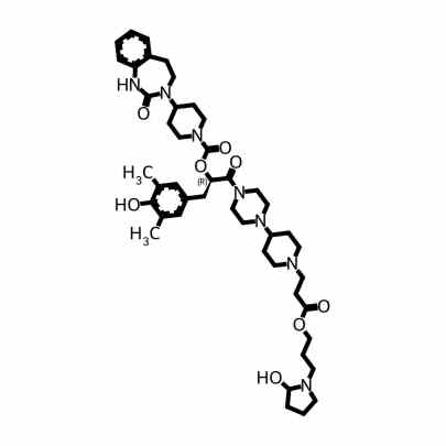 Cc1cc(C[C@@H](OC(=O)N2CCC(N3CCc4ccccc4NC3=O)CC2)C(=O)N2CCN(C3CCN(CCC(=O)OCCCN4CCCC4O)CC3)CC2)cc(C)c1O